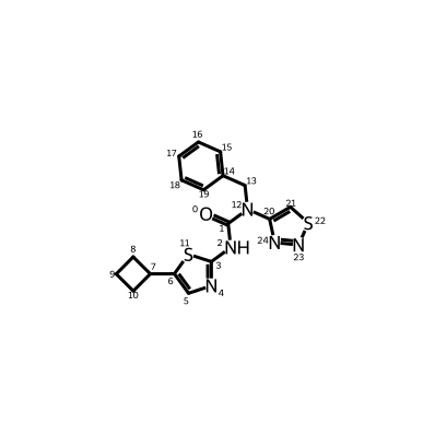 O=C(Nc1ncc(C2CCC2)s1)N(Cc1ccccc1)c1csnn1